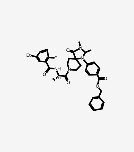 CCc1ccc(F)c(C(=O)N[C@@H](C(=O)N2CCC3(CC2)C(=O)N(C)C(C)N3c2ccc(C(=O)OCc3ccccc3)cc2)C(C)C)c1